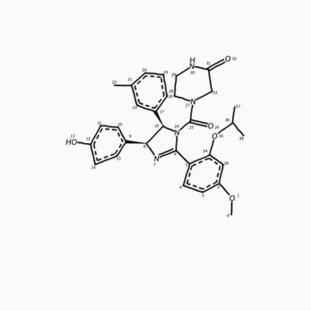 COc1ccc(C2=N[C@@H](c3ccc(O)cc3)[C@@H](c3cccc(C)c3)N2C(=O)N2CCNC(=O)C2)c(OC(C)C)c1